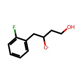 [O]C(CCO)Cc1ccccc1F